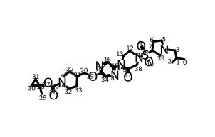 CC(C)CN1CCC(S(=O)(=O)N2CCN(c3cnc(OCC4CCN(C(=O)OC5(C)CC5)CC4)cn3)C(=O)C2)C1